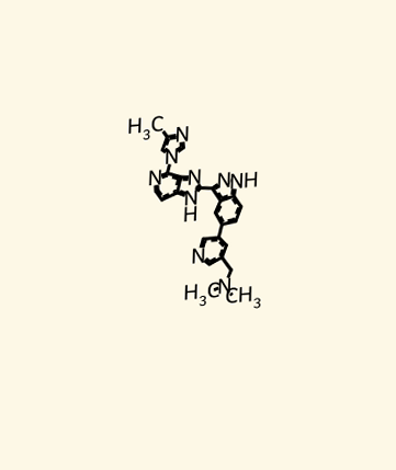 Cc1cn(-c2nccc3[nH]c(-c4n[nH]c5ccc(-c6cncc(CN(C)C)c6)cc45)nc23)cn1